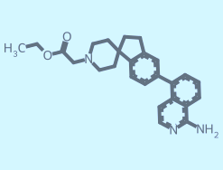 CCOC(=O)CN1CCC2(CCc3cc(-c4cccc5c(N)nccc45)ccc32)CC1